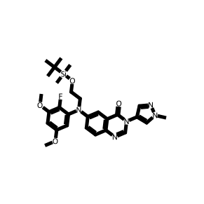 COc1cc(OC)c(F)c(N(CCO[Si](C)(C)C(C)(C)C)c2ccc3ncn(-c4cnn(C)c4)c(=O)c3c2)c1